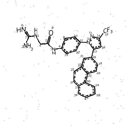 N=C(N)NCC(=O)Nc1ccc(-n2nc(C(F)(F)F)cc2-c2ccc3c(ccc4ccccc43)c2)cc1